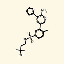 Cc1ccc(S(=O)(=O)NCCC(C)(C)O)cc1-c1cnc(N)c(-c2cccs2)n1